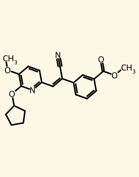 COC(=O)c1cccc(/C(C#N)=C/c2ccc(OC)c(OC3CCCC3)n2)c1